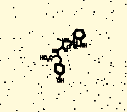 C[C@H](N[SH]1(=O)ONc2ccccc21)C(=O)N[C@@H](Cc1ccc(O)cc1)C(=O)O